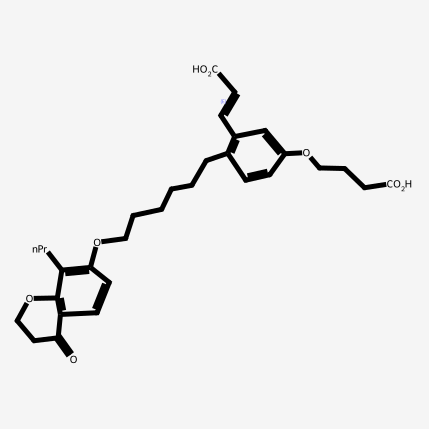 CCCc1c(OCCCCCCc2ccc(OCCCC(=O)O)cc2/C=C/C(=O)O)ccc2c1OCCC2=O